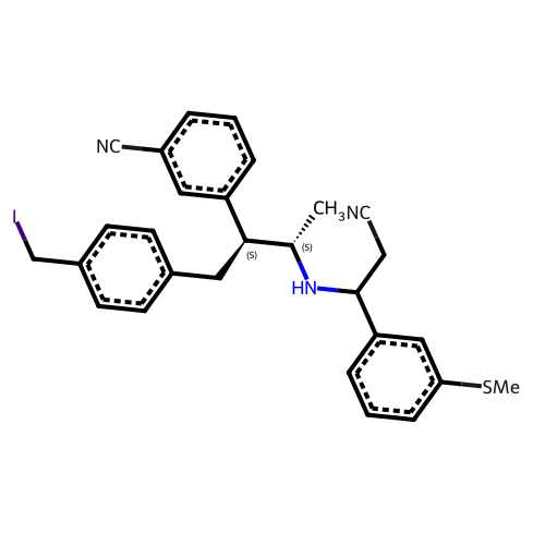 CSc1cccc(C(CC#N)N[C@@H](C)[C@@H](Cc2ccc(CI)cc2)c2cccc(C#N)c2)c1